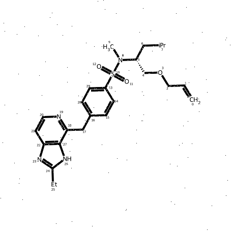 C=CCOC[C@@H](CC(C)C)N(C)S(=O)(=O)c1ccc(Cc2nccc3nc(CC)[nH]c23)cc1